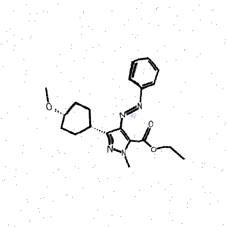 CCOC(=O)c1c(/N=N/c2ccccc2)c([C@H]2CC[C@@H](OC)CC2)nn1C